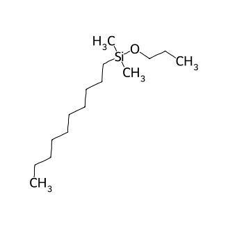 CCCCCCCCCC[Si](C)(C)OCCC